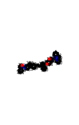 CC1(C)c2ccccc2N(c2ccc3cc(-c4ccc(/C=C/c5ccc6c(c5)C(C)(C)C5C=C(N7CCCC8=C7CCC=C8)C=CC65)c5ccccc45)ccc3c2)c2ccccc21